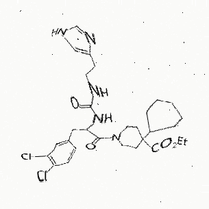 CCOC(=O)C1(C2CCCCC2)CCN(C(=O)C(Cc2ccc(Cl)c(Cl)c2)NC(=O)NCCc2c[nH]cn2)CC1